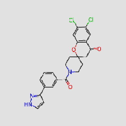 O=C1CC2(CCN(C(=O)c3cccc(-c4cc[nH]n4)c3)CC2)Oc2cc(Cl)c(Cl)cc21